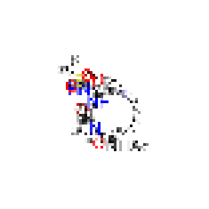 CC[C@H]1/C=C\CCCCC[C@H](NC(C)=O)C(=O)N2CCC[C@H]2C(=O)N[C@H]1C(=O)NS(=O)(=O)C1CC1